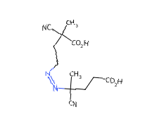 CC(C#N)(CCC(=O)O)/N=N\CCC(C)(C#N)C(=O)O